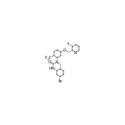 O=C1Nc2cc(Br)ccc2CN1c1cc(OCc2ncccc2F)ccc1C(F)(F)F